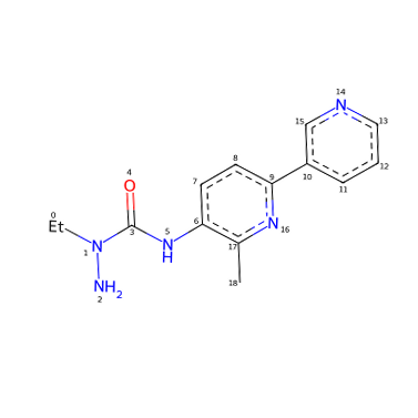 CCN(N)C(=O)Nc1ccc(-c2cccnc2)nc1C